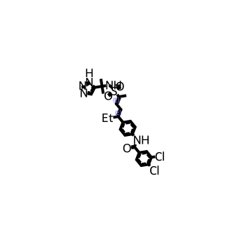 CC/C(=C\C=C(/C)S(=O)(=O)NC(C)(C)c1cnn[nH]1)c1ccc(NC(=O)c2ccc(Cl)c(Cl)c2)cc1